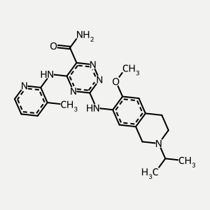 COc1cc2c(cc1Nc1nnc(C(N)=O)c(Nc3ncccc3C)n1)CN(C(C)C)CC2